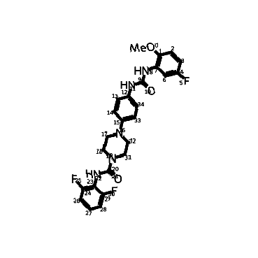 COc1ccc(F)cc1NC(=O)Nc1ccc(N2CCN(C(=O)Nc3c(F)cccc3F)CC2)cc1